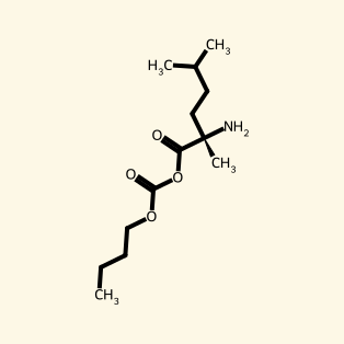 CCCCOC(=O)OC(=O)[C@@](C)(N)CCC(C)C